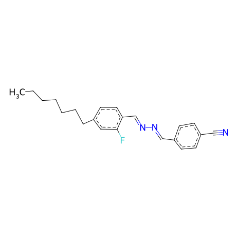 CCCCCCCc1ccc(C=NN=Cc2ccc(C#N)cc2)c(F)c1